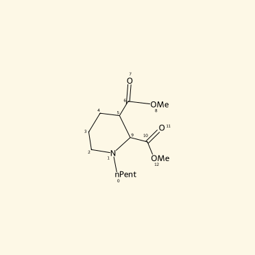 CCCCCN1CCCC(C(=O)OC)C1C(=O)OC